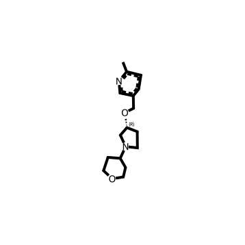 Cc1ccc(CO[C@@H]2CCN(C3CCOCC3)C2)cn1